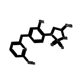 COc1cccc(Cc2ccc(N3CC(C=O)NS3(=O)=O)c(O)c2)n1